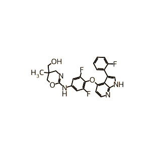 CC1(CO)CN=C(Nc2cc(F)c(Oc3ccnc4[nH]cc(-c5ccccc5F)c34)c(F)c2)OC1